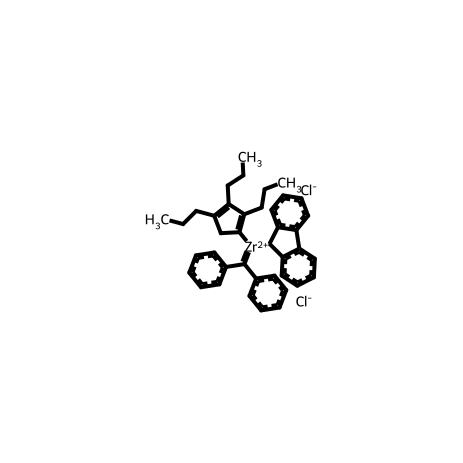 CCCC1=C(CCC)C(CCC)=[C]([Zr+2](=[C](c2ccccc2)c2ccccc2)[CH]2c3ccccc3-c3ccccc32)C1.[Cl-].[Cl-]